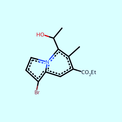 CCOC(=O)c1cc2c(Br)ccn2c(C(C)O)c1C